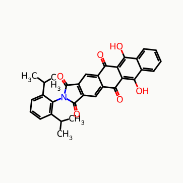 CC(C)c1cccc(C(C)C)c1-n1c(=O)c2cc3c(=O)c4c(O)c5ccccc5c(O)c4c(=O)c3cc2c1=O